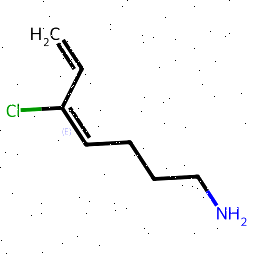 C=C/C(Cl)=C\CCCN